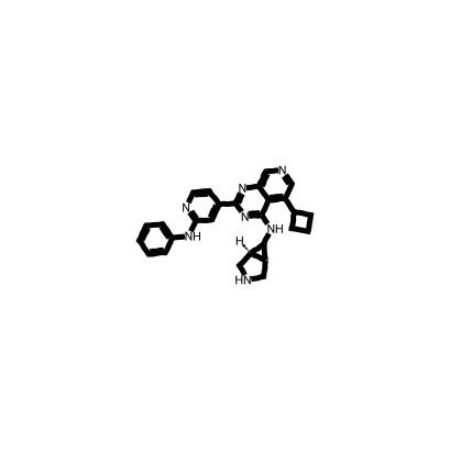 c1ccc(Nc2cc(-c3nc(NC4C5CNC[C@H]54)c4c(C5CCC5)cncc4n3)ccn2)cc1